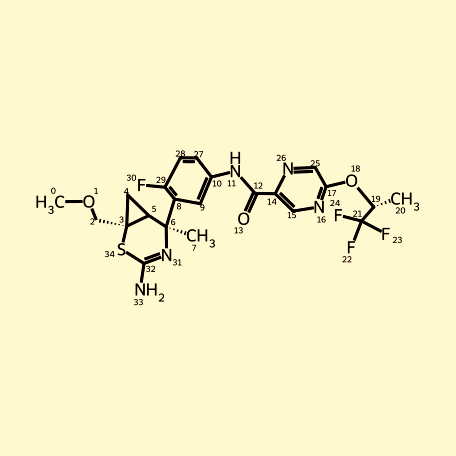 COC[C@]12CC1[C@@](C)(c1cc(NC(=O)c3cnc(O[C@H](C)C(F)(F)F)cn3)ccc1F)N=C(N)S2